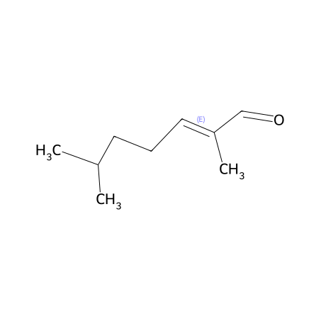 C/C(C=O)=C\CCC(C)C